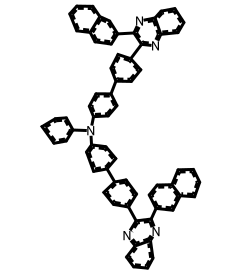 c1ccc(N(c2ccc(-c3ccc(-c4nc5ccccc5nc4-c4ccc5ccccc5c4)cc3)cc2)c2ccc(-c3ccc(-c4nc5ccccc5nc4-c4ccc5ccccc5c4)cc3)cc2)cc1